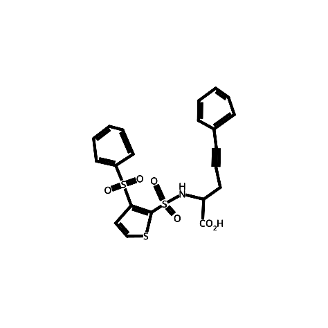 O=C(O)C(CC#Cc1ccccc1)NS(=O)(=O)c1sccc1S(=O)(=O)c1ccccc1